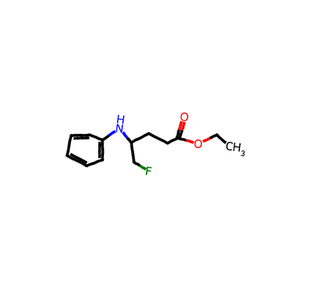 CCOC(=O)CCC(CF)Nc1ccccc1